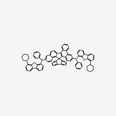 c1ccc(N(c2ccc3c4c(ccc3c2)-c2c(c3ccc(N(c5ccccc5)c5cccc6c5oc5c(C7CCCCC7)cccc56)cc3c3ccccc23)C42c3ccccc3-c3ccccc32)c2cccc3c2oc2c(C4CCCCC4)cccc23)cc1